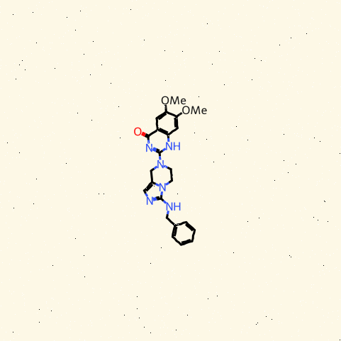 COc1cc2[nH]c(N3CCn4c(cnc4NCc4ccccc4)C3)nc(=O)c2cc1OC